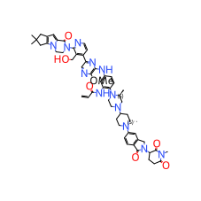 C=CC(=O)Nc1cc(Nc2nc(-c3ccnc(N4CCn5c(cc6c5CC(C)(C)C6)C4=O)c3CO)cnc2OC)ccc1N1CCN(C2CCN(c3ccc4c(c3)CN(C3CCC(=O)N(C)C3=O)C4=O)[C@@H](C)C2)C[C@@H]1C